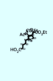 CCOC(=O)C(=O)C1=C(N(C(C)=O)C(=O)OCC)C(CCCCC(=O)O)SC1